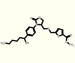 CCCCCC(O)c1ccc(N2C(=O)OCC2COCc2ccc(C(=O)OC)s2)cc1